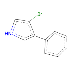 Brc1c[nH]cc1-c1ccccc1